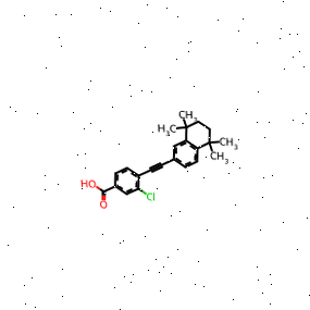 CC1(C)CCC(C)(C)c2cc(C#Cc3ccc(C(=O)O)cc3Cl)ccc21